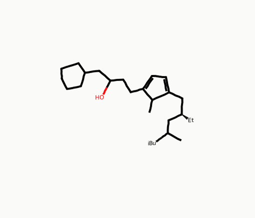 CCC(C)C(C)C[C@H](CC)CC1=CC=C(CCC(O)CC2CCCCC2)C1C